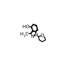 Cc1nn(C2CCCCO2)c2cccc(O)c12